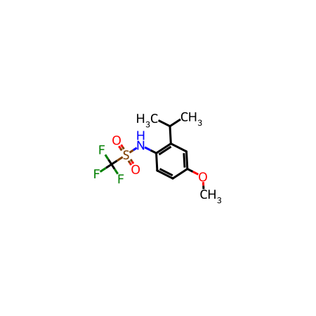 COc1ccc(NS(=O)(=O)C(F)(F)F)c(C(C)C)c1